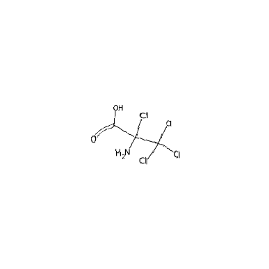 NC(Cl)(C(=O)O)C(Cl)(Cl)Cl